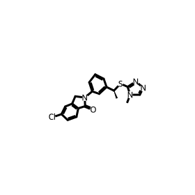 C[C@H](Sc1nncn1C)c1cccc(N2Cc3cc(Cl)ccc3C2=O)c1